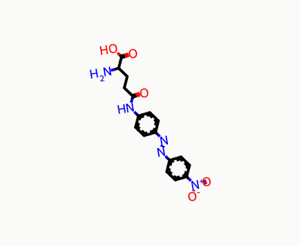 NC(CCC(=O)Nc1ccc(N=Nc2ccc([N+](=O)[O-])cc2)cc1)C(=O)O